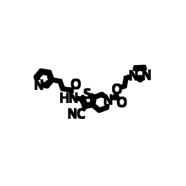 N#Cc1c(NC(=O)CCc2cccnc2)sc2c1CCN(C(=O)OCCn1ccnc1)C2